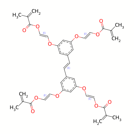 C=C(C)C(=O)O/C=C/Oc1cc(/C=C/c2cc(O/C=C/OC(=O)C(=C)C)cc(O/C=C/OC(=O)C(=C)C)c2)cc(O/C=C/OC(=O)C(=C)C)c1